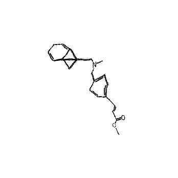 COC(=O)/C=C/c1ccc(CN(C)CC23CC4C2=CCC=C43)cc1